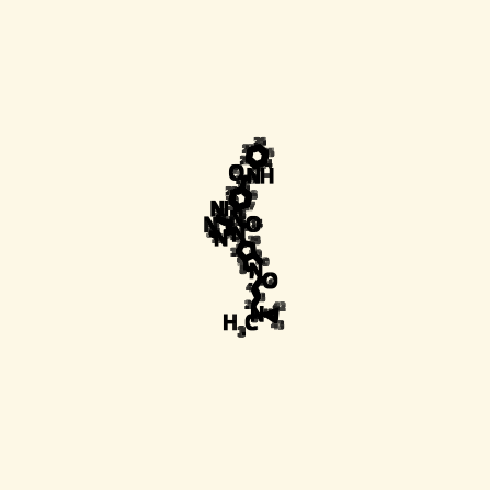 CN(CC=CC(=O)N1CC2CC(n3c(=O)n(-c4ccc(C(=O)Nc5ccccc5)cc4)c4c(N)ncnc43)CC2C1)C1CC1